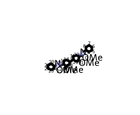 CO/C(=N\c1ccccc1)c1ccc(-c2ccc(/C(=N/c3ccccc3)OC)c(OC)c2)cc1OC